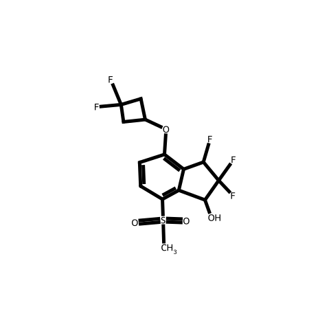 CS(=O)(=O)c1ccc(OC2CC(F)(F)C2)c2c1C(O)C(F)(F)C2F